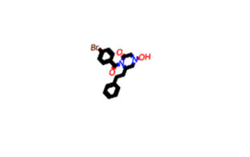 O=C1CN(O)CC(CCc2ccccc2)N1C(=O)c1ccc(Br)cc1